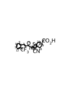 N#Cc1c(NC(=O)C=Cc2ccccc2C(F)(F)F)sc2c1CCN(C(=O)O)C2